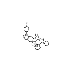 CC1=Cc2c(cnn2-c2ccc(F)cc2)C[C@@]1(C)C(CO)c1ccccc1CN1CCCC1